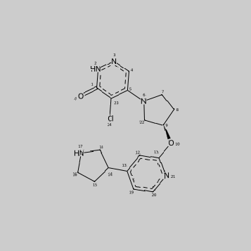 O=c1[nH]ncc(N2CC[C@@H](Oc3cc(C4CCNC4)ccn3)C2)c1Cl